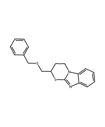 c1ccc(CSCC2CCn3c(nc4ccccc43)S2)cc1